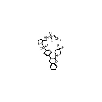 C=CS(=O)(=O)NCC1CCCN1S(=O)(=O)c1ccc(C(Cc2ccccc2)C(=O)N2CCC(F)(F)CC2)cc1